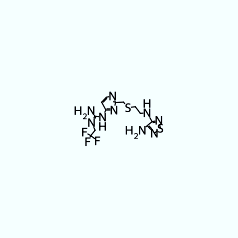 N/C(=N/CC(F)(F)F)Nc1ccnc(CSCCNc2nsnc2N)n1